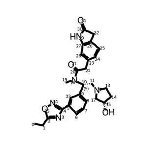 CCc1nc(-c2cccc([C@@H](CN3CC[C@H](O)C3)N(C)C(=O)Cc3ccc4c(c3)NC(=O)C4)c2)no1